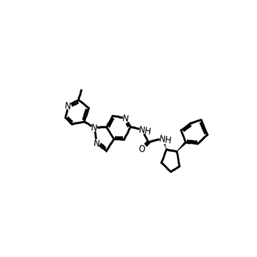 Cc1cc(-n2ncc3cc(NC(=O)N[C@H]4CCC[C@@H]4c4ccccc4)ncc32)ccn1